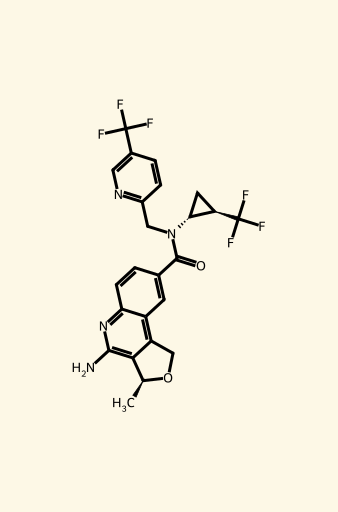 C[C@@H]1OCc2c1c(N)nc1ccc(C(=O)N(Cc3ccc(C(F)(F)F)cn3)[C@@H]3C[C@H]3C(F)(F)F)cc21